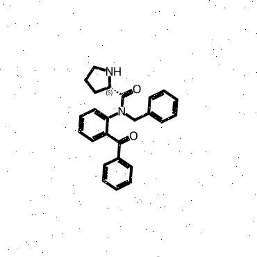 O=C(c1ccccc1)c1ccccc1N(Cc1ccccc1)C(=O)[C@@H]1CCCN1